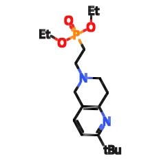 CCOP(=O)(CCN1CCc2nc(C(C)(C)C)ccc2C1)OCC